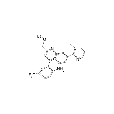 CCOCc1nc(-c2cc(C(F)(F)F)ccc2N)c2ccc(-c3ncccc3C)cc2n1